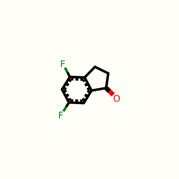 O=C1CCc2c(F)cc(F)cc21